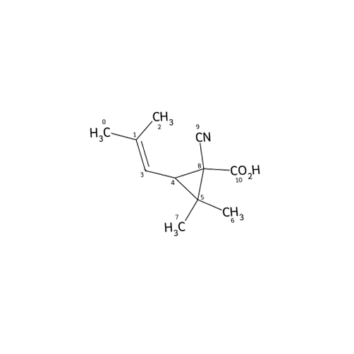 CC(C)=CC1C(C)(C)C1(C#N)C(=O)O